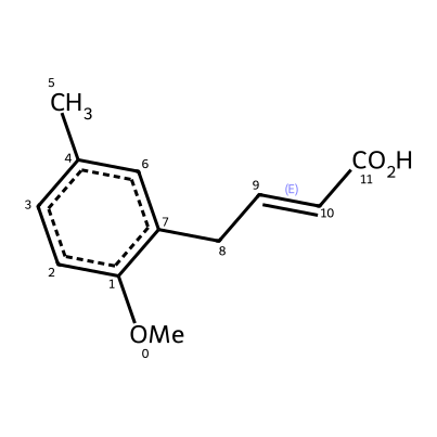 COc1ccc(C)cc1C/C=C/C(=O)O